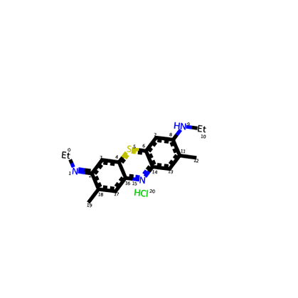 CCN=c1cc2sc3cc(NCC)c(C)cc3nc-2cc1C.Cl